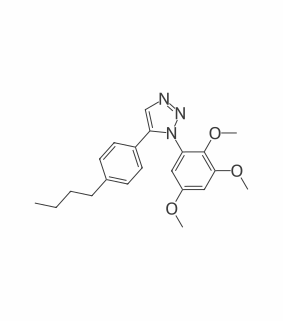 CCCCc1ccc(-c2cnnn2-c2cc(OC)cc(OC)c2OC)cc1